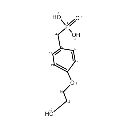 O=P(O)(O)Cc1ccc(OCCO)cc1